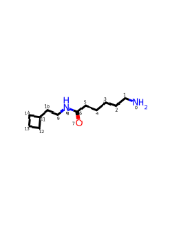 NCCCCCC(=O)NCCC1CCC1